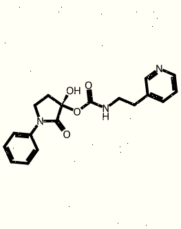 O=C(NCCc1cccnc1)O[C@@]1(O)CCN(c2ccccc2)C1=O